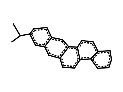 CC(C)c1ccc2cc3c(ccc4c5ccccc5ccc34)cc2c1